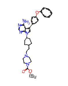 CC(C)(C)OC(=O)N1CCN(CCC2CCC(n3cc(-c4ccc(Oc5ccccc5)cc4)c4c(N)ncnc43)CC2)CC1